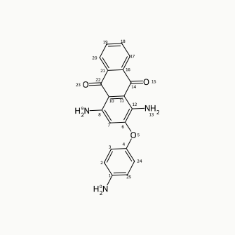 Nc1ccc(Oc2cc(N)c3c(c2N)C(=O)c2ccccc2C3=O)cc1